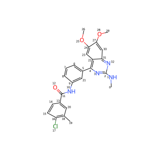 CNc1nc(-c2cccc(NC(=O)c3ccc(Cl)c(C)c3)c2)c2cc(OC)c(OC)cc2n1